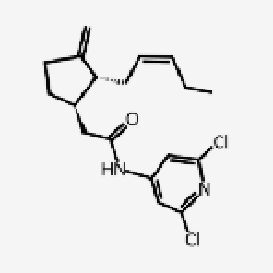 C=C1CC[C@H](CC(=O)Nc2cc(Cl)nc(Cl)c2)[C@H]1C/C=C\CC